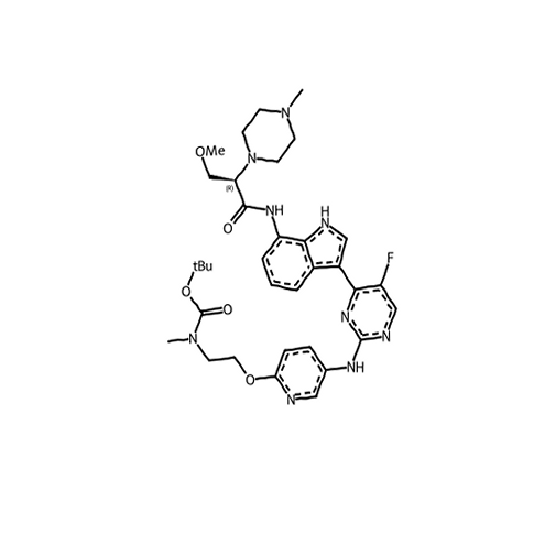 COC[C@H](C(=O)Nc1cccc2c(-c3nc(Nc4ccc(OCCN(C)C(=O)OC(C)(C)C)nc4)ncc3F)c[nH]c12)N1CCN(C)CC1